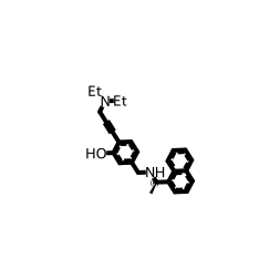 CCN(CC)CC#Cc1ccc(CN[C@H](C)c2cccc3ccccc23)cc1O